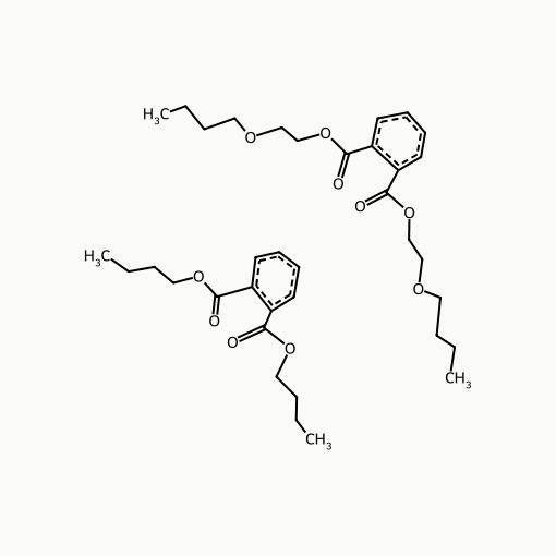 CCCCOC(=O)c1ccccc1C(=O)OCCCC.CCCCOCCOC(=O)c1ccccc1C(=O)OCCOCCCC